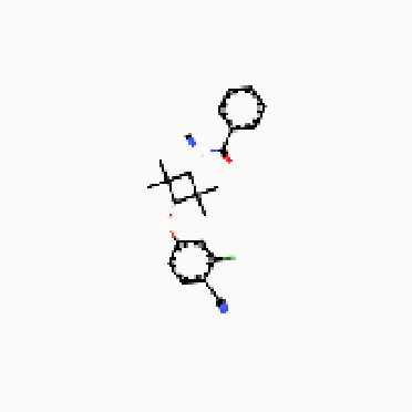 C=[N+](C(=O)c1ccccc1)[C@H]1C(C)(C)[C@H](Oc2ccc(C#N)c(Cl)c2)C1(C)C